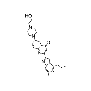 CCCc1nc(C)cn2nc(C3=CC(=O)C4C=C(N5CCN(CCO)CC5)C=CC4=N3)cc12